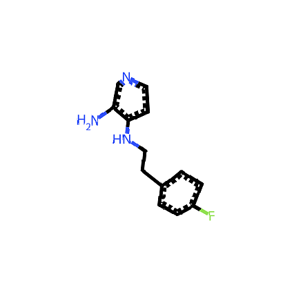 Nc1cnccc1NCCc1ccc(F)cc1